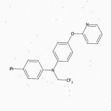 CC(C)c1ccc(N(CC(F)(F)F)c2ccc(Oc3ccccn3)cc2)cc1